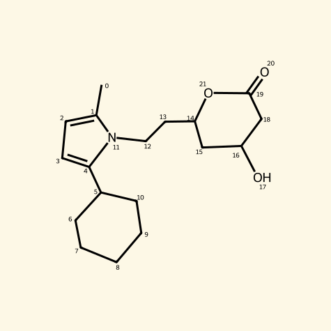 Cc1ccc(C2CCCCC2)n1CCC1CC(O)CC(=O)O1